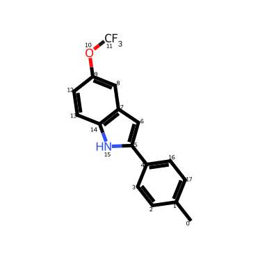 Cc1ccc(-c2cc3cc(OC(F)(F)F)ccc3[nH]2)cc1